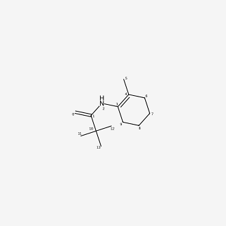 C=C(NC1=C(C)CCCC1)C(C)(C)C